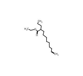 C=CCCCCCCCC(CCC)C(=O)OCC